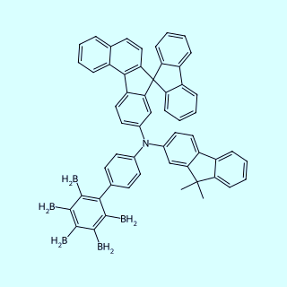 Bc1c(B)c(B)c(-c2ccc(N(c3ccc4c(c3)C(C)(C)c3ccccc3-4)c3ccc4c(c3)C3(c5ccccc5-c5ccccc53)c3ccc5ccccc5c3-4)cc2)c(B)c1B